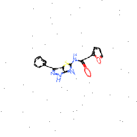 O=C(Nc1nc2[nH]nc(-c3ccccc3)c2s1)c1ccco1